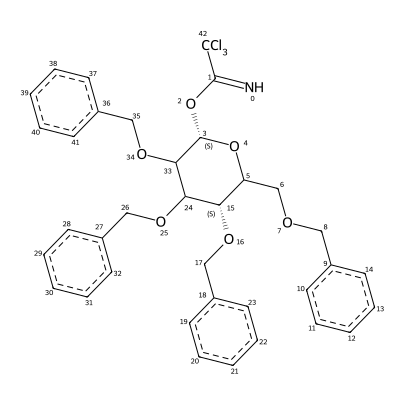 N=C(O[C@@H]1OC(COCc2ccccc2)[C@H](OCc2ccccc2)C(OCc2ccccc2)C1OCc1ccccc1)C(Cl)(Cl)Cl